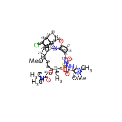 COc1nn(C)cc1C(=O)NS1(=O)=NC(=O)c2ccc3c(c2)N(C[C@@H]2CC[C@H]2[C@@H](OC)/C=C/[C@H](OCC(=O)N(C)C)[C@H](C)C1)C[C@@]1(CCCc2cc(Cl)ccc21)CO3